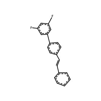 Fc1cc(F)cc(-c2ccc(C=Cc3ccccc3)cc2)c1